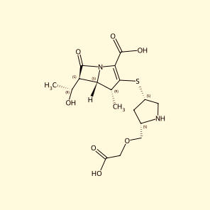 C[C@@H](O)[C@H]1C(=O)N2C(C(=O)O)=C(S[C@@H]3CN[C@H](COCC(=O)O)C3)[C@H](C)[C@H]12